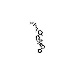 CC1=CCCC(OCCCC(C)(C)O)C=C1c1ccnc(NC(=O)c2nc3n(n2)[C@H](c2ccccc2)CC3)c1